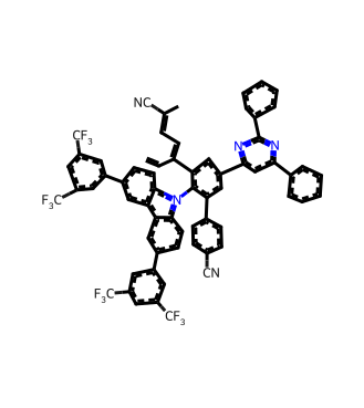 C=C/C(=C\C=C(/C)C#N)c1cc(-c2cc(-c3ccccc3)nc(-c3ccccc3)n2)cc(-c2ccc(C#N)cc2)c1-n1c2ccc(-c3cc(C(F)(F)F)cc(C(F)(F)F)c3)cc2c2cc(-c3cc(C(F)(F)F)cc(C(F)(F)F)c3)ccc21